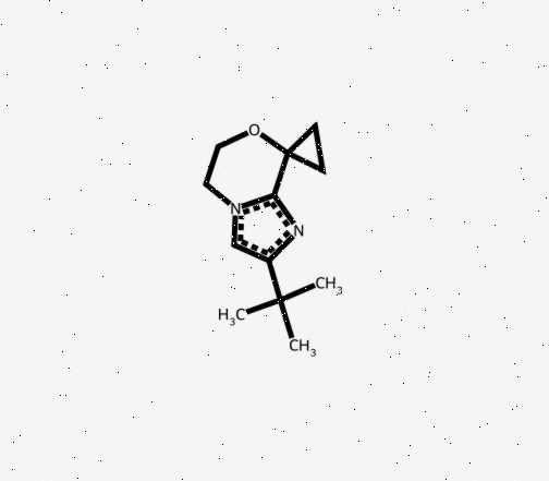 CC(C)(C)c1cn2c(n1)C1(CC1)OCC2